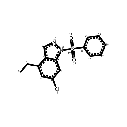 CCc1cc(Cl)cc2c1cnn2S(=O)(=O)c1ccccc1